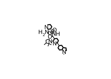 CC1CCN(c2nc(-c3ccc4c(ccn4C)c3)ccc2C(=O)NS(=O)(=O)c2cccnc2N)C1(C)C